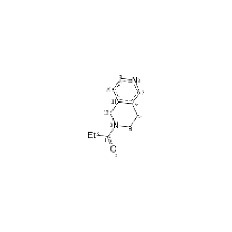 CCC(=O)N1CCc2cnccc2C1